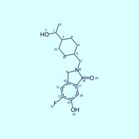 CC(O)C1CCC(CN2Cc3cc(F)c(O)cc3C2=O)CC1